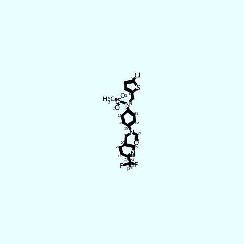 CS(=O)(=O)N(Cc1ccc(Cl)s1)c1ccc(N(C=O)Cc2ccc(C(F)(F)F)nc2)cc1